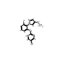 FC(F)(F)Sc1cnn(-c2c(I)cccc2Oc2ncc(Cl)cn2)c1